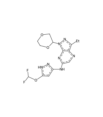 CCc1nn(C2COCCO2)c2nc(Nc3cc(OC(F)F)[nH]n3)cnc12